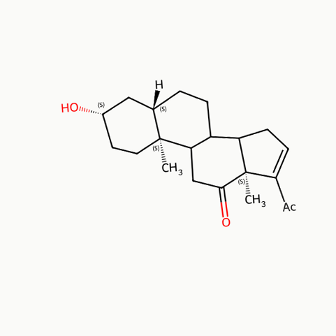 CC(=O)C1=CCC2C3CC[C@H]4C[C@@H](O)CC[C@]4(C)C3CC(=O)[C@]12C